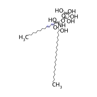 CCCCCCCCC/C=C/C=C/[C@@H](O)[C@H](CO[C@@H]1O[C@H](CO)[C@@H](O)C(O)C1O)NC(=O)C(O)CCCCCCCCCCCCCCCCCCCCCC